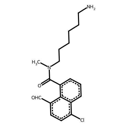 CN(CCCCCCN)C(=O)c1cccc2c(Cl)ccc(C=O)c12